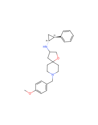 COc1ccc(CN2CCC3(CC2)CC(N[C@@H]2C[C@H]2c2ccccc2)CO3)cc1